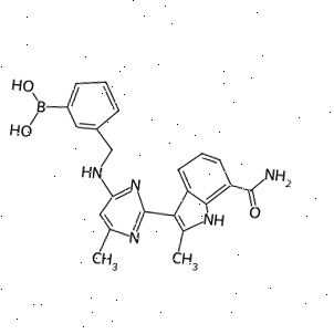 Cc1cc(NCc2cccc(B(O)O)c2)nc(-c2c(C)[nH]c3c(C(N)=O)cccc23)n1